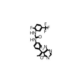 Cc1oc2ncnc(N)c2c1-c1ccc(NC(=O)Nc2cc(C(F)(F)F)ccc2F)cc1